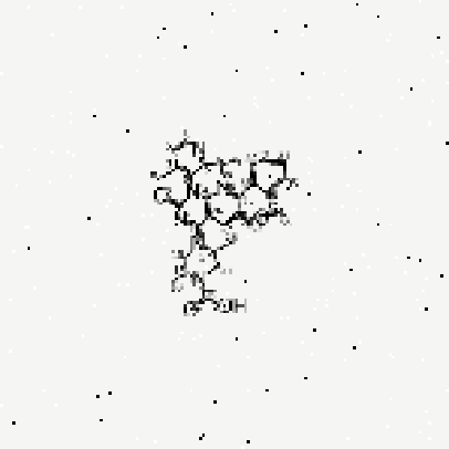 Cc1ccnc(C(C)C)c1-n1c(=O)nc(N2CC(C)N(C(=O)O)CC2C)c2cc(Cl)c(-c3ccccc3[S+](C)[O-])nc21